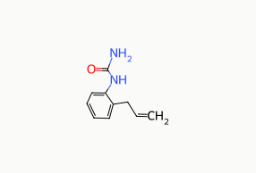 C=CCc1ccccc1NC(N)=O